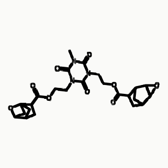 Cn1c(=O)n(CCOC(=O)C2CC3CC2C2OC32)c(=O)n(CCOC(=O)C2CC3CC24CC3O4)c1=O